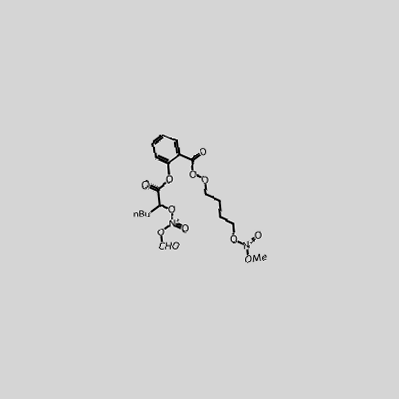 CCCCC(O[N+](=O)OC=O)C(=O)Oc1ccccc1C(=O)OOCCCCO[N+](=O)OC